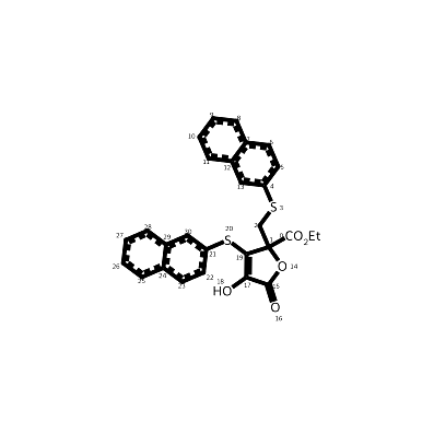 CCOC(=O)C1(CSc2ccc3ccccc3c2)OC(=O)C(O)=C1Sc1ccc2ccccc2c1